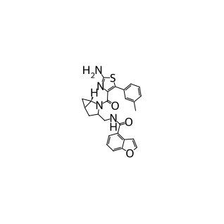 Cc1cccc(-c2sc(N)nc2C(=O)N2C(CNC(=O)c3cccc4occc34)CC3C[C@@H]32)c1